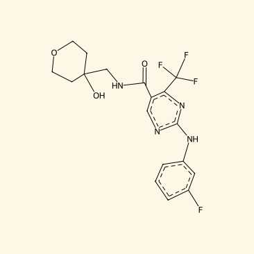 O=C(NCC1(O)CCOCC1)c1cnc(Nc2cccc(F)c2)nc1C(F)(F)F